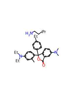 CC(C)CCN.CCc1ccc(C2(c3ccc(N(CC)CC)cc3C)OC(=O)c3cc(N(C)C)ccc32)cc1